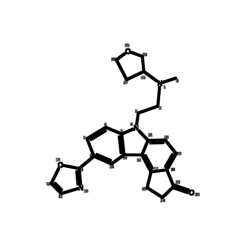 CN(CCn1c2ccc(-c3ncco3)cc2c2c3c(ccc21)C(=O)CC3)C1CCOC1